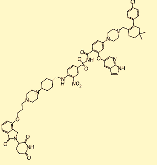 CC1(C)CCC(CN2CCN(c3ccc(C(=O)NS(=O)(=O)c4ccc(NC[C@H]5CC[C@H](N6CCN(CCCOc7cccc8c7CN(C7CCC(=O)NC7=O)C8=O)CC6)CC5)c([N+](=O)[O-])c4)c(Oc4cnc5[nH]ccc5c4)c3)CC2)=C(c2ccc(Cl)cc2)C1